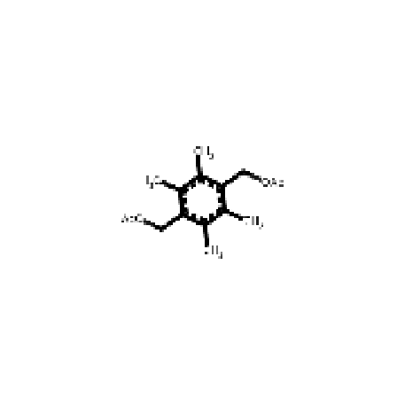 CC(=O)OCc1c(C)c(C)c(COC(C)=O)c(C)c1C